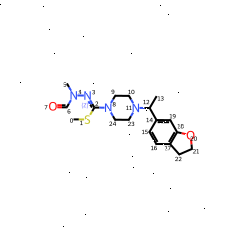 CS/C(=N\N(C)C=O)N1CCN(C(C)c2ccc3c(c2)OCC3)CC1